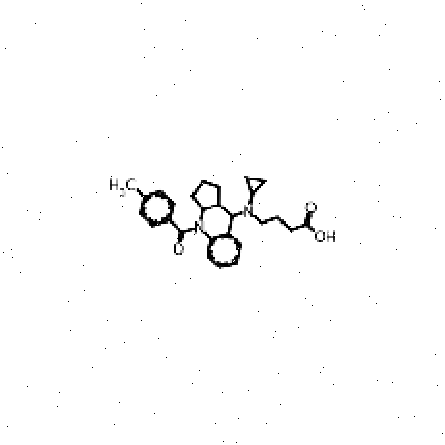 Cc1ccc(C(=O)N2c3ccccc3C(N(CCCC(=O)O)C3CC3)C3CCCC32)cc1